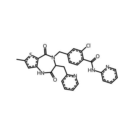 Cc1cc2c(s1)C(=O)N(Cc1ccc(C(=O)Nc3ccccn3)c(Cl)c1)C(Cc1ccccn1)C(=O)N2